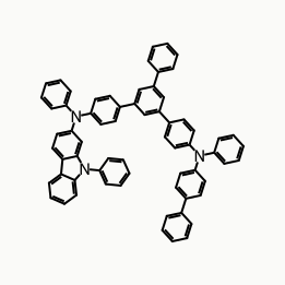 c1ccc(-c2ccc(N(c3ccccc3)c3ccc(-c4cc(-c5ccccc5)cc(-c5ccc(N(c6ccccc6)c6ccc7c8ccccc8n(-c8ccccc8)c7c6)cc5)c4)cc3)cc2)cc1